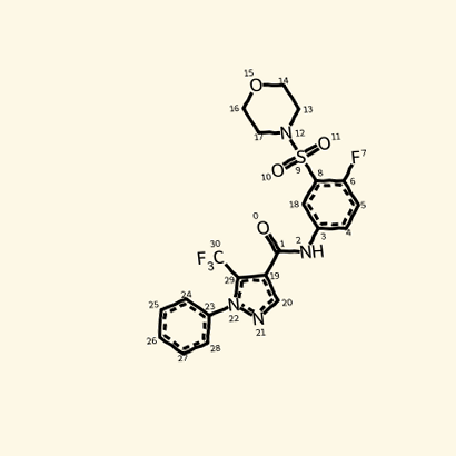 O=C(Nc1ccc(F)c(S(=O)(=O)N2CCOCC2)c1)c1cnn(-c2ccccc2)c1C(F)(F)F